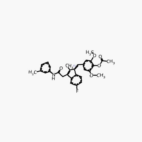 COc1cc(/C=C2/C(C)=C(CC(=O)Nc3cccc(C)c3)c3cc(F)ccc32)cc(OC)c1OC(C)=O